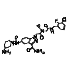 NC(=O)c1nn(CC(=O)N(CC(=O)NCc2cccc(Cl)c2F)C2CC2)c2ccc(NC(=O)N3CCC[C@H](N)C3)cc12